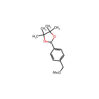 COCc1ccc(B2OC(C)(C)C(C)(C)O2)cc1